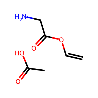 C=COC(=O)CN.CC(=O)O